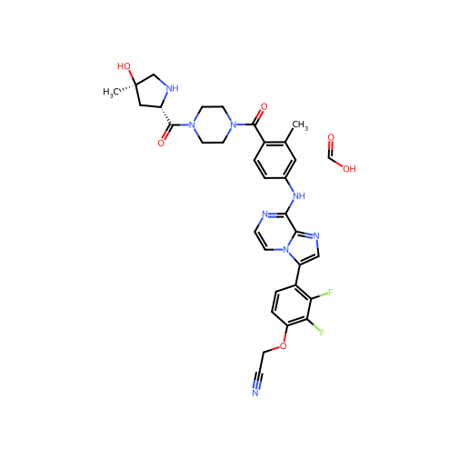 Cc1cc(Nc2nccn3c(-c4ccc(OCC#N)c(F)c4F)cnc23)ccc1C(=O)N1CCN(C(=O)[C@@H]2C[C@@](C)(O)CN2)CC1.O=CO